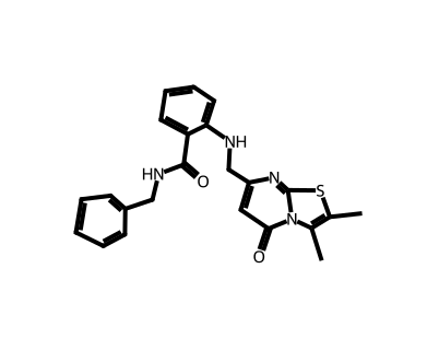 Cc1sc2nc(CNc3ccccc3C(=O)NCc3ccccc3)cc(=O)n2c1C